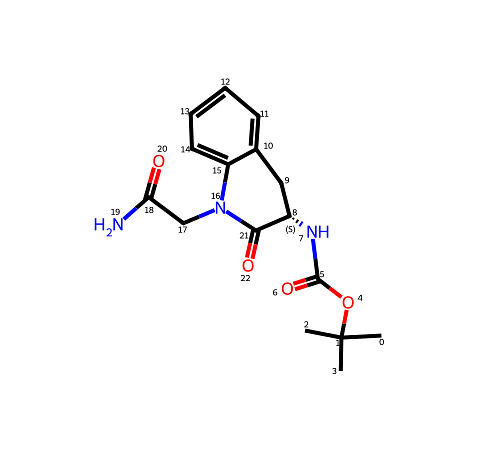 CC(C)(C)OC(=O)N[C@H]1Cc2ccccc2N(CC(N)=O)C1=O